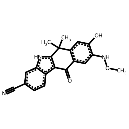 CONc1cc2c(cc1O)C(C)(C)c1[nH]c3cc(C#N)ccc3c1C2=O